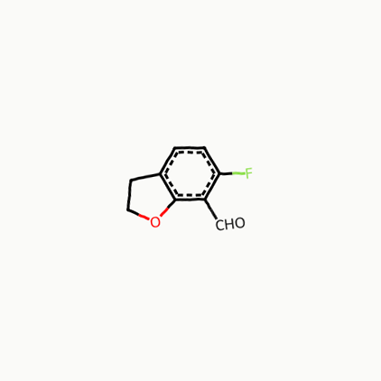 O=Cc1c(F)ccc2c1OCC2